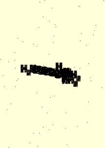 NCCOCCOCCOCCOCCOCCOCCOCCOCCC(=O)NCc1ccc(Cn2nc(-c3ccc4oc(N)nc4c3)c3c(N)ncnc32)cc1